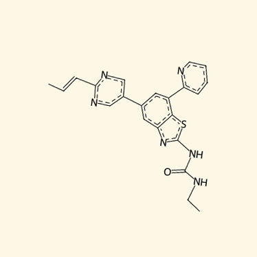 C/C=C/c1ncc(-c2cc(-c3ccccn3)c3sc(NC(=O)NCC)nc3c2)cn1